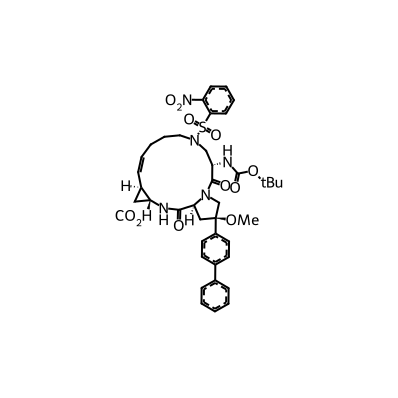 CO[C@@]1(c2ccc(-c3ccccc3)cc2)C[C@H]2C(=O)N[C@]3(C(=O)O)C[C@H]3C=CCCCN(S(=O)(=O)c3ccccc3[N+](=O)[O-])C[C@H](NC(=O)OC(C)(C)C)C(=O)N2C1